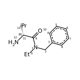 CCN(Cc1ccccc1)C(=O)[C@H](N)C(C)C